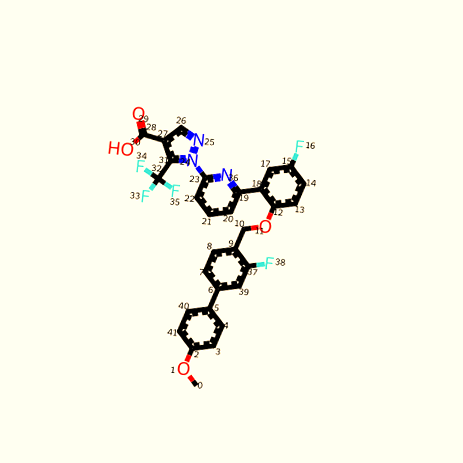 COc1ccc(-c2ccc(COc3ccc(F)cc3-c3cccc(-n4ncc(C(=O)O)c4C(F)(F)F)n3)c(F)c2)cc1